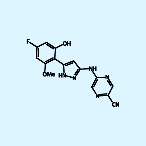 COc1cc(F)cc(O)c1-c1cc(Nc2cnc(C#N)cn2)n[nH]1